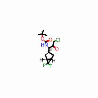 CC(C)(C)OC(=O)N[C@H](C(=O)CCl)[C@@H]1C[C@@H]2[C@H](C1)C2(F)F